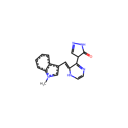 Cn1cc(C=C2NC=CN=C2C2C=NNC2=O)c2ccccc21